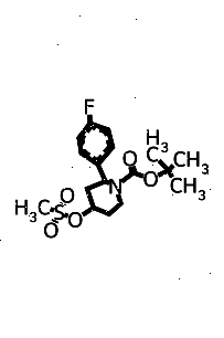 CC(C)(C)OC(=O)N1CCC(OS(C)(=O)=O)CC1c1ccc(F)cc1